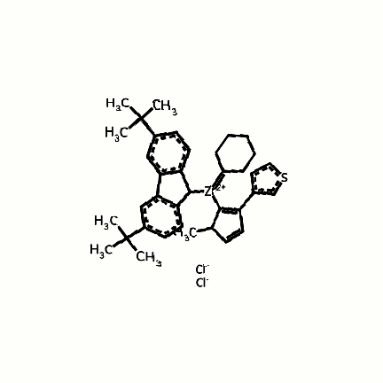 CC1C=CC(c2ccsc2)=[C]1[Zr+2](=[C]1CCCCC1)[CH]1c2ccc(C(C)(C)C)cc2-c2cc(C(C)(C)C)ccc21.[Cl-].[Cl-]